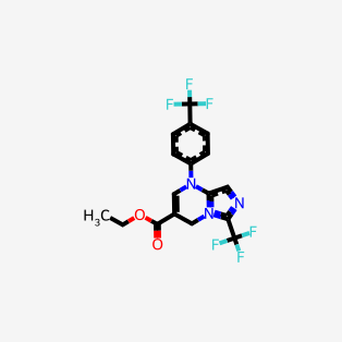 CCOC(=O)C1=CN(c2ccc(C(F)(F)F)cc2)c2cnc(C(F)(F)F)n2C1